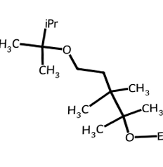 CCOC(C)(C)C(C)(C)CCOC(C)(C)C(C)C